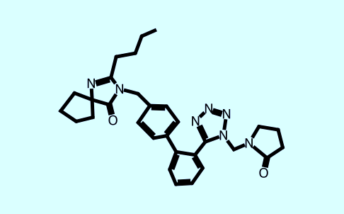 CCCCC1=NC2(CCCC2)C(=O)N1Cc1ccc(-c2ccccc2-c2nnnn2CN2CCCC2=O)cc1